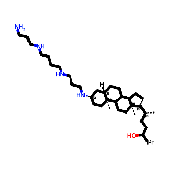 CC(C)C(O)CC[C@@H](C)[C@H]1CCC2C3CC[C@H]4C[C@@H](NCCCNCCCCNCCCN)CC[C@]4(C)C3CC[C@@]21C